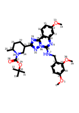 COc1ccc(CNc2nc3cc(OC)ccc3c3nc(C4CCC(C)N(C(=O)OC(C)(C)C)C4)nn23)c(OC)c1